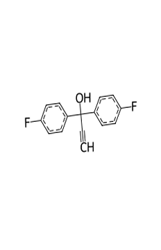 C#CC(O)(c1ccc(F)cc1)c1ccc(F)cc1